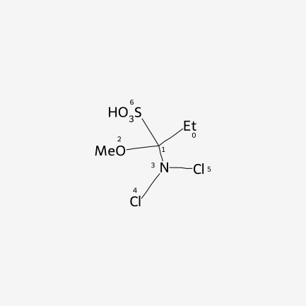 CCC(OC)(N(Cl)Cl)S(=O)(=O)O